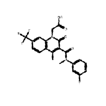 Cc1c(C(=O)N(C)c2cccc(F)c2)c(=O)n(CC(=O)O)c2cc(C(F)(F)F)ccc12